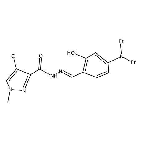 CCN(CC)c1ccc(/C=N/NC(=O)c2nn(C)cc2Cl)c(O)c1